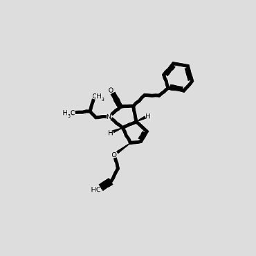 C#CCO[C@@H]1C=C[C@H]2C(CCc3ccccc3)C(=O)N(CC(C)C)[C@@H]12